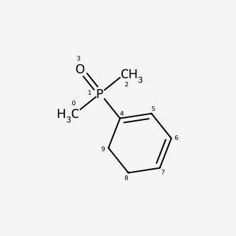 CP(C)(=O)C1=CC=CCC1